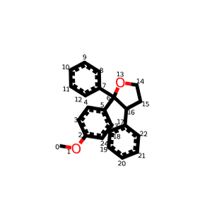 COc1ccc(C2(c3ccccc3)OCCC2c2ccccc2)cc1